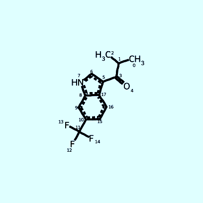 CC(C)C(=O)c1c[nH]c2cc(C(F)(F)F)ccc12